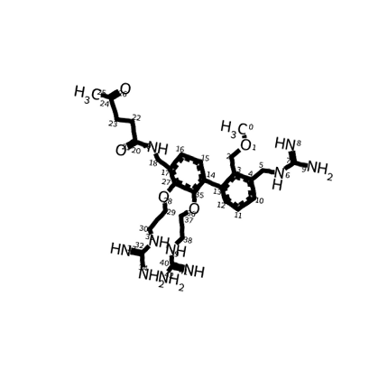 COCc1c(CNC(=N)N)cccc1-c1ccc(CNC(=O)CCC(C)=O)c(OCCNC(=N)N)c1OCCNC(=N)N